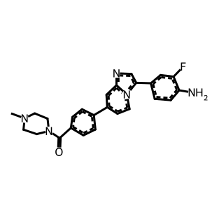 CN1CCN(C(=O)c2ccc(-c3ccn4c(-c5ccc(N)c(F)c5)cnc4c3)cc2)CC1